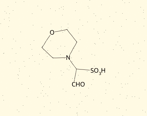 O=CC(N1CCOCC1)S(=O)(=O)O